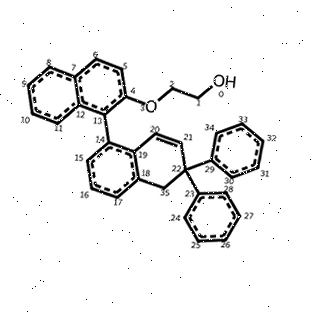 OCCOc1ccc2ccccc2c1-c1cccc2c1C=CC(c1ccccc1)(c1ccccc1)C2